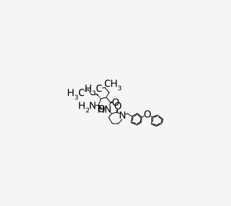 CCCC[C@H](C(N)=O)[C@@H](CC(C)C)C(=O)N[C@H]1CCCCN(Cc2cccc(Oc3ccccc3)c2)C1=O